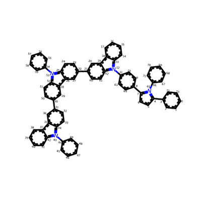 c1ccc(-c2ccc(-c3ccc(-n4c5ccccc5c5cc(-c6ccc7c(c6)c6cc(-c8ccc9c(c8)c8ccccc8n9-c8ccccc8)ccc6n7-c6ccccc6)ccc54)cc3)n2-c2ccccc2)cc1